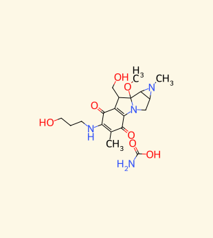 COC12C(CO)C3=C(C(=O)C(C)=C(NCCCO)C3=O)N1CC1C2N1C.NC(=O)O